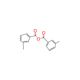 Cc1cccc(C(=O)OC(=O)c2cccc(C)c2)c1